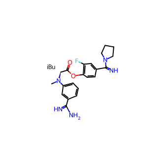 CC[C@H](C)[C@@H](C(=O)Oc1ccc(C(=N)N2CCCC2)cc1F)N(C)c1cccc(C(=N)N)c1